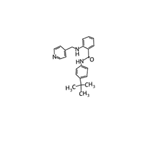 CC(C)(C)c1ccc(NC(=O)c2ccccc2NCc2ccncc2)cc1